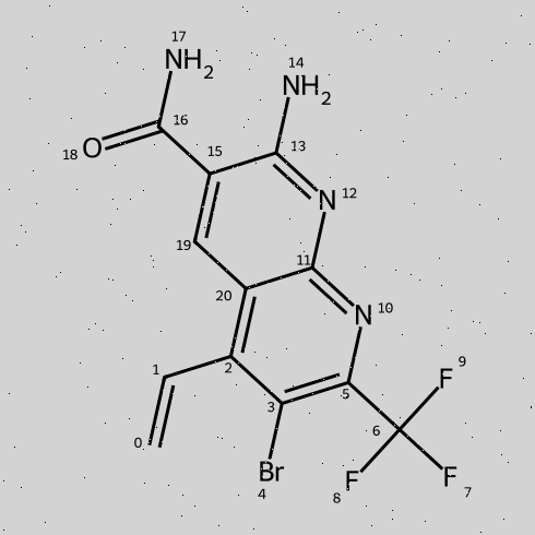 C=Cc1c(Br)c(C(F)(F)F)nc2nc(N)c(C(N)=O)cc12